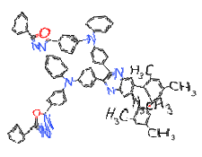 Cc1cc(C)c(-c2cc3nc(-c4ccc(N(c5ccccc5)c5ccc(-c6nnc(-c7ccccc7)o6)cc5)cc4)c(-c4ccc(N(c5ccccc5)c5ccc(-c6nnc(-c7ccccc7)o6)cc5)cc4)nc3cc2-c2c(C)cc(C)cc2C)c(C)c1